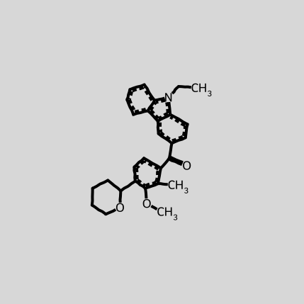 CCn1c2ccccc2c2cc(C(=O)c3ccc(C4CCCCO4)c(OC)c3C)ccc21